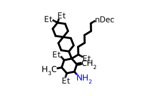 C=C1C(N)C(CC)C(C)C(CC)C1(C(CC)CCCCCCCCCCCCCCC)C1CCC2(CC1)CCC(CC)(CC)CC2